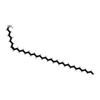 CCCCCCCCCCCCCCCCCCCCCCCCCCCC/C=C\CCCCCCN